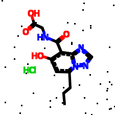 CCCc1cc(O)c(C(=O)NCC(=O)O)c2ncnn12.Cl